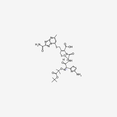 Cc1cc(SCC2=C(C(=O)O)N3C(=O)[C@@H](NC(=O)/C(=N\OC(C)(C)C(=O)OC(C)(C)C)c4csc(N)n4)[C@H]3SC2)n2nc(C(N)=O)nc2n1